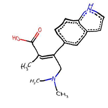 CC(C(=O)O)=C(CN(C)C)c1ccc2[nH]ccc2c1